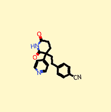 N#Cc1ccc(CCC2(c3ccncc3)CCC(=O)NC2=O)cc1